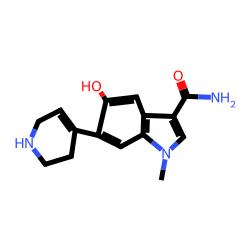 Cn1cc(C(N)=O)c2cc(O)c(C3=CCNCC3)cc21